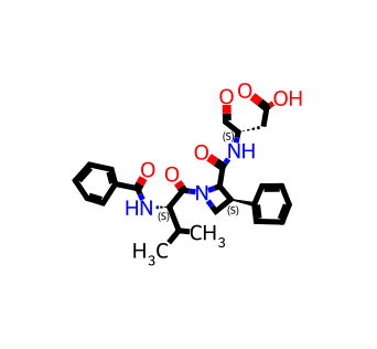 CC(C)[C@H](NC(=O)c1ccccc1)C(=O)N1C[C@H](c2ccccc2)C1C(=O)N[C@H](C=O)CC(=O)O